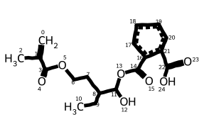 C=C(C)C(=O)OCCC(CC)C(O)OC(=O)c1ccccc1C(=O)O